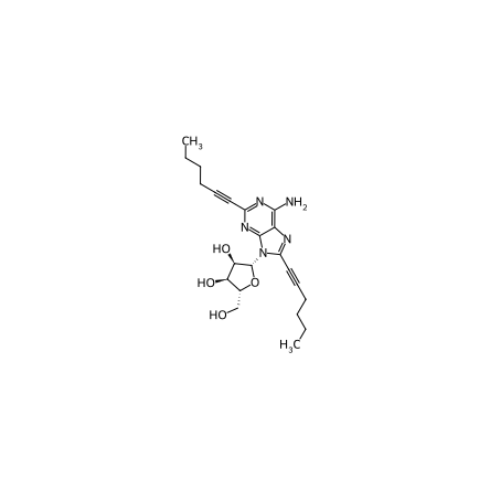 CCCCC#Cc1nc(N)c2nc(C#CCCCC)n([C@@H]3O[C@H](CO)[C@@H](O)[C@H]3O)c2n1